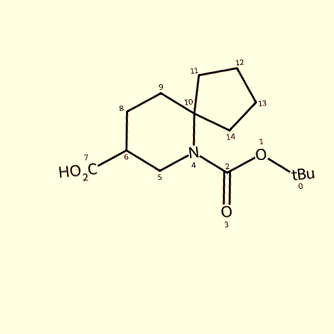 CC(C)(C)OC(=O)N1CC(C(=O)O)CCC12CCCC2